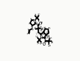 C=CC[C@H]1CCN(C(C)(C)C)[C@@H]1C(=O)C(C)(C)CC1[C@@H]2CCC[C@@H]2[C@@H](C(=O)C(C)(C)C)N1C(C)(C)C